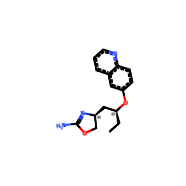 CC[C@@H](C[C@H]1COC(N)=N1)Oc1ccc2ncccc2c1